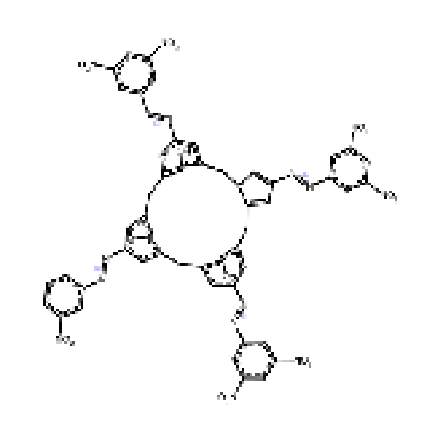 O=[N+]([O-])c1cccc(/N=N/c2cc3c(O)c(c2)Cc2cc(/N=N/c4cc([N+](=O)[O-])cc([N+](=O)[O-])c4)cc(c2O)CC2C=C(/N=N/c4cc([N+](=O)[O-])cc([N+](=O)[O-])c4)C=C2Cc2cc(/N=N/c4cc([N+](=O)[O-])cc([N+](=O)[O-])c4)cc(c2O)C3)c1